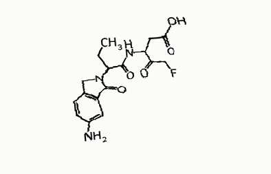 CCC(C(=O)NC(CC(=O)O)C(=O)CF)N1Cc2ccc(N)cc2C1=O